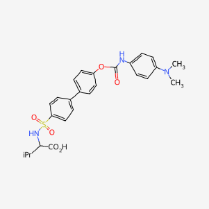 CC(C)C(NS(=O)(=O)c1ccc(-c2ccc(OC(=O)Nc3ccc(N(C)C)cc3)cc2)cc1)C(=O)O